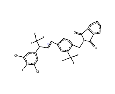 O=C1c2ccccc2C(=O)N1Cc1ccc(/C=C/C(c2cc(Cl)c(F)c(Cl)c2)C(F)(F)F)cc1C(F)(F)F